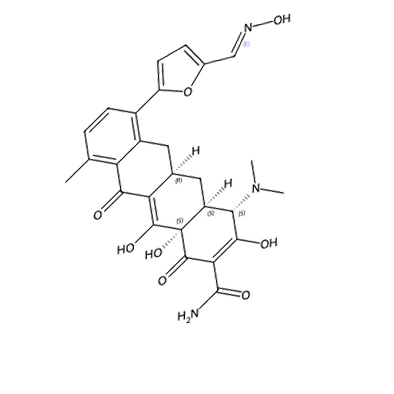 Cc1ccc(-c2ccc(/C=N/O)o2)c2c1C(=O)C1=C(O)[C@]3(O)C(=O)C(C(N)=O)=C(O)[C@@H](N(C)C)[C@@H]3C[C@@H]1C2